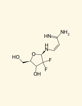 N=C(N)/C=C\N[C@@H]1O[C@H](CO)C(O)C1(F)F